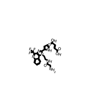 NCC(=O)NCCn1c(-c2ccc[nH]2)nc2c(C(F)(F)F)nc3ccccc3c21.O=C(O)/C=C/C(=O)O